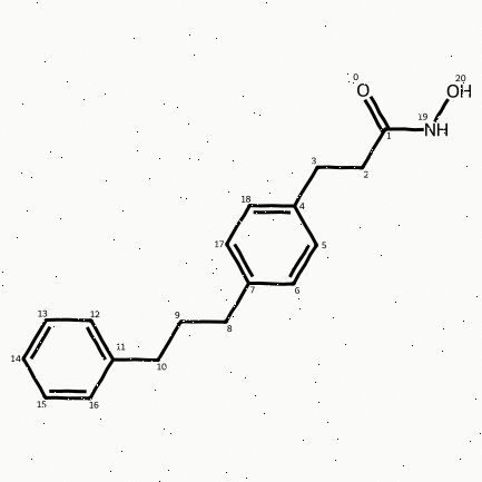 O=C(CCc1ccc(CCCc2ccccc2)cc1)NO